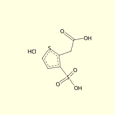 Cl.O=C(O)Cc1sccc1S(=O)(=O)O